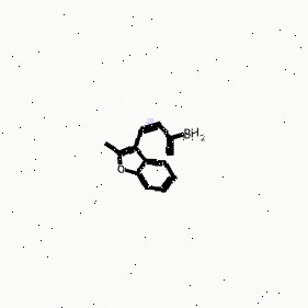 BC(=C)/C=C\c1c(C)oc2ccccc12